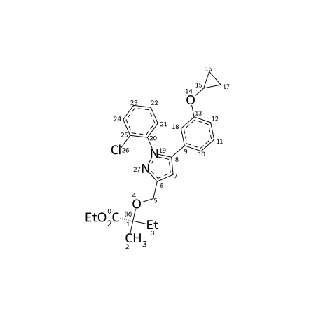 CCOC(=O)[C@@](C)(CC)OCc1cc(-c2cccc(OC3CC3)c2)n(-c2ccccc2Cl)n1